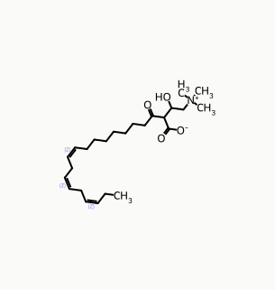 CC/C=C\C/C=C\C/C=C\CCCCCCCC(=O)C(C(=O)[O-])C(O)C[N+](C)(C)C